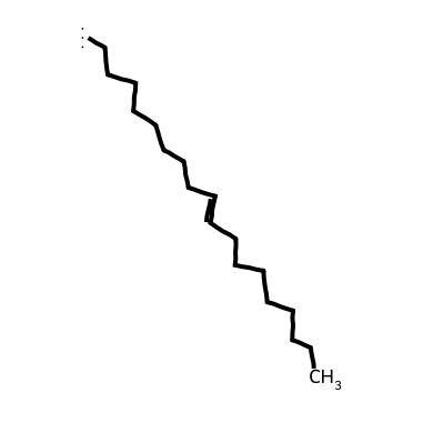 [C]CCCCCCCCC=CCCCCCCCC